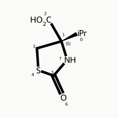 CC(C)[C@]1(C(=O)O)CSC(=O)N1